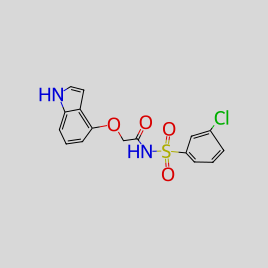 O=C(COc1cccc2[nH]ccc12)NS(=O)(=O)c1cccc(Cl)c1